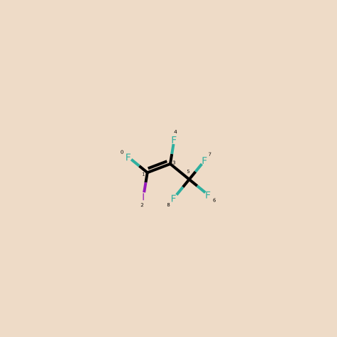 FC(I)=C(F)C(F)(F)F